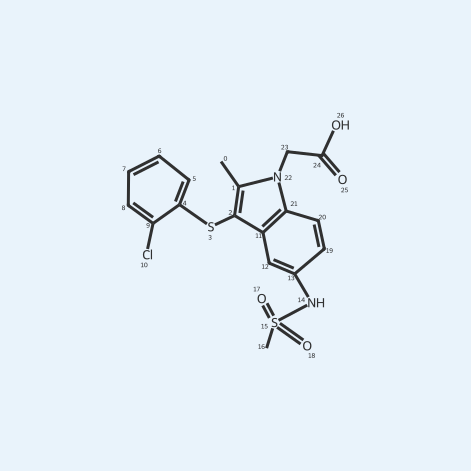 Cc1c(Sc2ccccc2Cl)c2cc(NS(C)(=O)=O)ccc2n1CC(=O)O